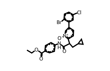 CCOC(=O)c1ccc(NC(=O)C(CC2CC2)c2ccc(-c3cc(Cl)ccc3Br)c[n+]2[O-])cc1